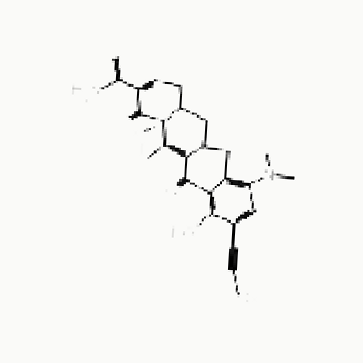 C=C(N)C1=CCC2CC3Cc4c(N(C)C)cc(C#CCCC)c(O)c4C(=O)C3=C(C)[C@]2(S)C1=O